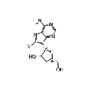 Nc1ncnc2c1nc(Br)n2[C@@H]1O[C@H](CO)CC1O